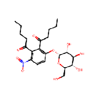 CCCCC(=O)c1c(O[C@H]2O[C@H](CO)[C@@H](O)[C@H](O)[C@H]2O)ccc([N+](=O)[O-])c1C(=O)CCCC